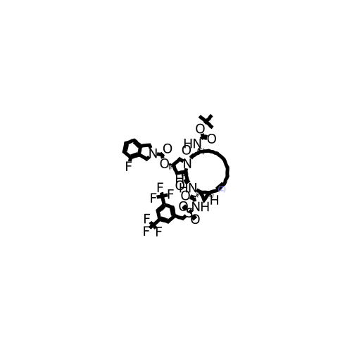 CC(C)(C)OC(=O)N[C@H]1CCCCC/C=C\[C@@H]2C[C@@]2(C(=O)NS(=O)(=O)Cc2cc(C(F)(F)F)cc(C(F)(F)F)c2)NC(=O)[C@@H]2C[C@@H](OC(=O)N3Cc4cccc(F)c4C3)CN2C1=O